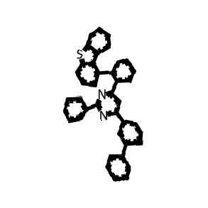 c1ccc(-c2cccc(-c3cc(-c4ccccc4-c4cccc5sc6ccccc6c45)nc(-c4ccccc4)n3)c2)cc1